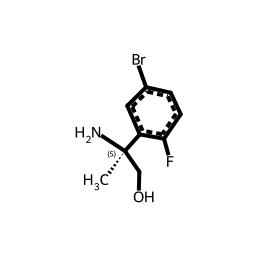 C[C@@](N)(CO)c1cc(Br)ccc1F